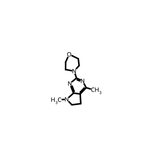 Cc1nc(N2CCOCC2)nc2c1CCN2C